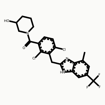 Cc1cc(C(F)(F)F)cc2[nH]c(Cc3c(Cl)ccc(C(=O)N4CCCC(O)C4)c3Cl)nc12